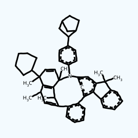 CC1C=C2c3ccccc3-c3cc(cc4c3-c3ccccc3C4(C)C)N(c3ccc(C4CC5CCC4C5)cc3)C3(C)C=CC(C)(C4CCCCC4)C1=C3C2C